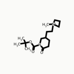 CC(C)(C)OC(=O)N1CC(CC[N+]2(C)CCC2)CCC1=O